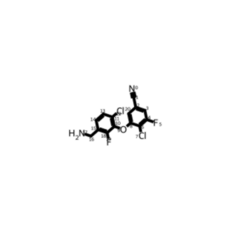 N#Cc1cc(F)c(Cl)c(Oc2c(Cl)ccc(CN)c2F)c1